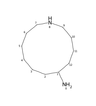 NC1CCCCCCNCCCC1